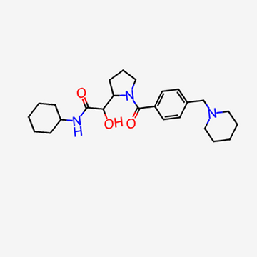 O=C(NC1CCCCC1)C(O)C1CCCN1C(=O)c1ccc(CN2CCCCC2)cc1